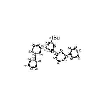 CC(C)(C)c1nc(-c2cccc(-c3ccccc3)c2)nc(-c2cccc(-c3ccccc3)c2)n1